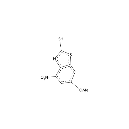 COc1cc([N+](=O)[O-])c2nc(S)sc2c1